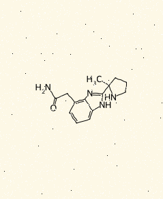 CC1(c2nc3c(CC(N)=O)cccc3[nH]2)CCCN1